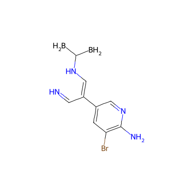 BC(B)N/C=C(\C=N)c1cnc(N)c(Br)c1